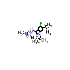 CC(C)c1cc2c(cc1F)c(CNSN(C)C)cn2CC(C)(C)C